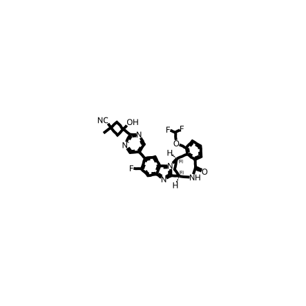 CC1(C#N)CC(O)(c2ncc(-c3cc4c(cc3F)nc3n4[C@@H]4C[C@H]3NC(=O)c3cccc(OC(F)F)c34)cn2)C1